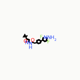 CC1(c2cc(NC(=O)Cc3ccc(-c4cc(F)c(N)nc4F)cc3)no2)CC1